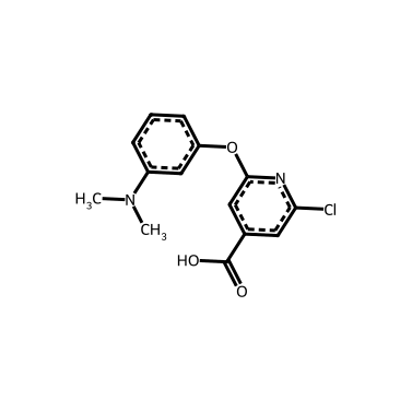 CN(C)c1cccc(Oc2cc(C(=O)O)cc(Cl)n2)c1